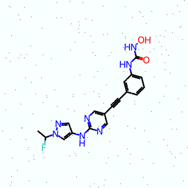 CC(F)n1cc(Nc2ncc(C#Cc3cccc(NC(=O)NO)c3)cn2)cn1